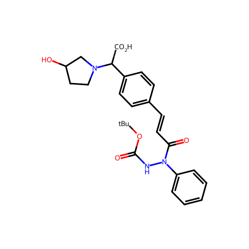 CC(C)(C)OC(=O)NN(C(=O)C=Cc1ccc(C(C(=O)O)N2CCC(O)C2)cc1)c1ccccc1